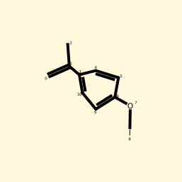 C=C(C)c1ccc(OI)cc1